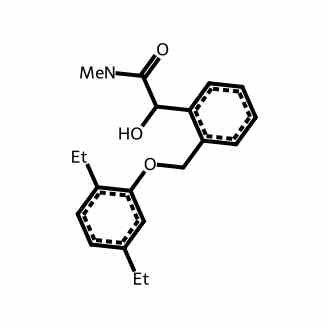 CCc1ccc(CC)c(OCc2ccccc2C(O)C(=O)NC)c1